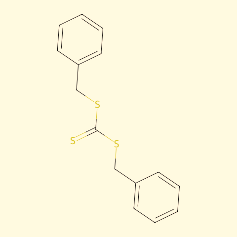 S=C(SCc1ccccc1)SCc1ccccc1